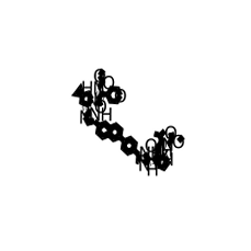 COC(=O)N[C@H](C(=O)N1[C@@H]2CC[C@@H](C2)[C@H]1c1ncc(-c2ccc(-c3ccc4cc(-c5cnc([C@@H]6CC7(CC7)CN6C(=O)[C@@H](NC(=O)OC)C6CCOCC6)[nH]5)ccc4c3)cc2)[nH]1)C(C)C